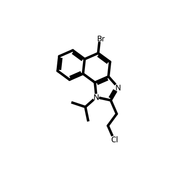 CC(C)n1c(CCCl)nc2cc(Br)c3ccccc3c21